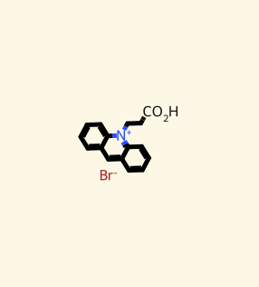 O=C(O)CC[n+]1c2ccccc2cc2ccccc21.[Br-]